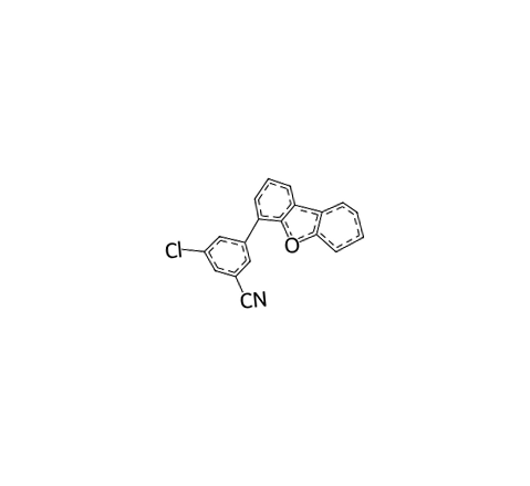 N#Cc1cc(Cl)cc(-c2cccc3c2oc2ccccc23)c1